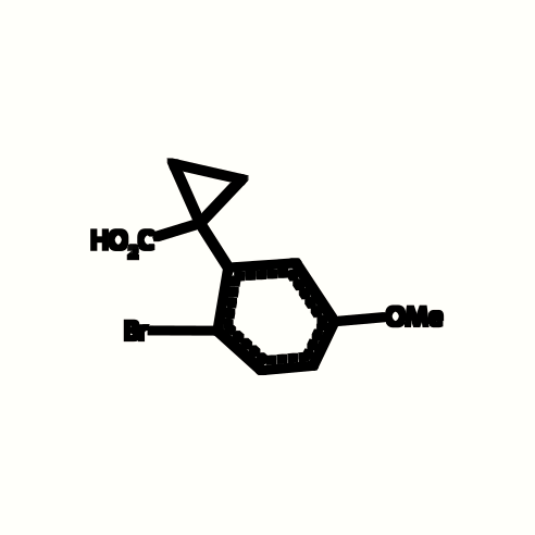 COc1ccc(Br)c(C2(C(=O)O)CC2)c1